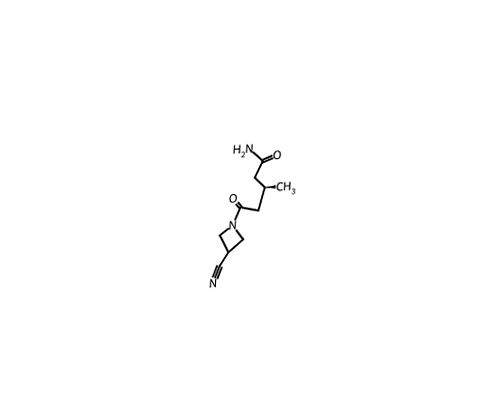 C[C@H](CC(N)=O)CC(=O)N1CC(C#N)C1